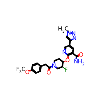 Cn1cc(-c2cnc(O[C@@H]3CCN(C(=O)Cc4ccc(OC(F)(F)F)cc4)C[C@@H]3F)c(C(N)=O)c2)nn1